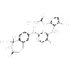 CNC(=O)Oc1scc(C)c1Nc1nc(Nc2ccc3c(c2)CCC(=O)NC3(C)C)ncc1Cl